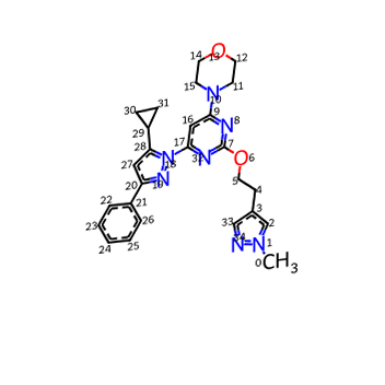 Cn1cc(CCOc2nc(N3CCOCC3)cc(-n3nc(-c4ccccc4)cc3C3CC3)n2)cn1